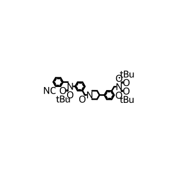 CC(C)(C)OC(=O)N(Cc1cccc(C2CCN(C(=O)c3cccc(N(Cc4cccc(C#N)c4)C(=O)OC(C)(C)C)c3)CC2)c1)C(=O)OC(C)(C)C